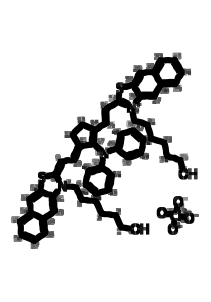 OCCCCCCN1C(=CC=C2CCC(C=Cc3sc4cc5ccccc5cc4[n+]3CCCCCCO)=C2N(c2ccccc2)c2ccccc2)Sc2cc3ccccc3cc21.[O-][Cl+3]([O-])([O-])[O-]